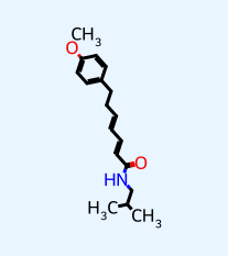 COc1ccc(CCC=C/C=C/C(=O)NCC(C)C)cc1